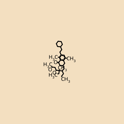 CCCC(CC1CC(=O)c2c(C)c(CCC3CCCCC3)cc(C)c2C1)C(C)(CC)C(=O)CC(C)=O